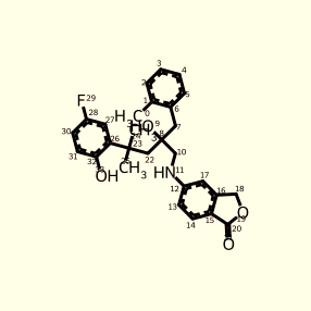 Cc1ccccc1CC(O)(CNc1ccc2c(c1)COC2=O)CC(C)(C)c1cc(F)ccc1O